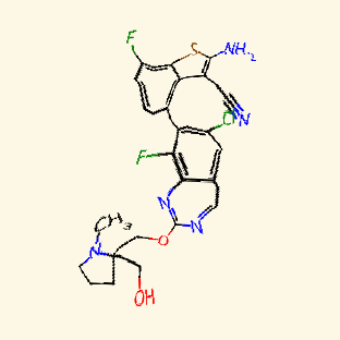 CN1CCCC1(CO)COc1ncc2cc(Cl)c(-c3ccc(F)c4sc(N)c(C#N)c34)c(F)c2n1